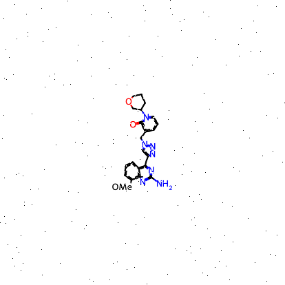 COc1cccc2c(-c3cn(Cc4cccn([C@@H]5CCCOC5)c4=O)nn3)nc(N)nc12